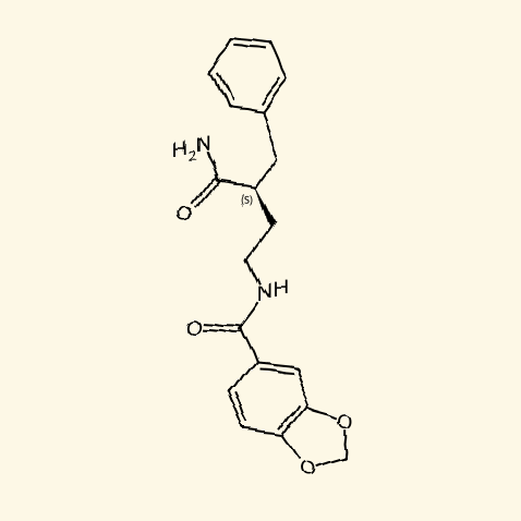 NC(=O)[C@H](CCNC(=O)c1ccc2c(c1)OCO2)Cc1ccccc1